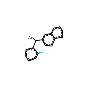 CC(=O)C(c1ccc2ccccc2c1)c1ccccc1F